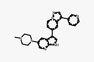 CN1CCN(c2cnc3[nH]cc(-c4ccn5ncc(-c6cccnc6)c5c4)c3c2)CC1